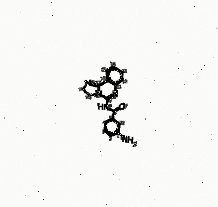 Nc1cccc(C(=O)NC2=Nc3ccccc3C3=NCCN23)c1